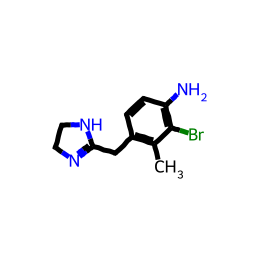 Cc1c(CC2=NCCN2)ccc(N)c1Br